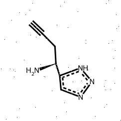 C#CC[C@H](N)c1cnn[nH]1